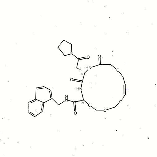 O=C1CCC/C=C\CCCCC[C@@H](C(=O)NCc2cccc3ccccc23)NC(=O)[C@H](CC(=O)N2CCCC2)N1